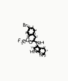 O=C(Cc1ccc(Br)cc1OC(F)(F)F)Nc1c[nH]c2ncccc12